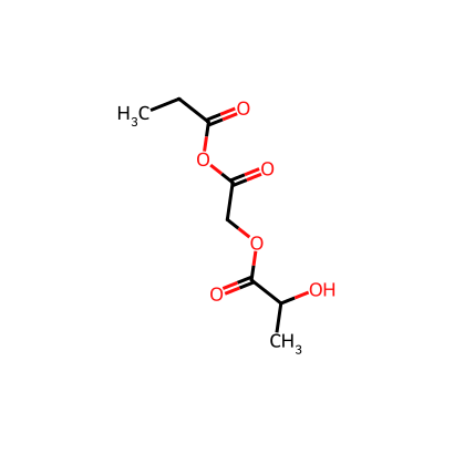 CCC(=O)OC(=O)COC(=O)C(C)O